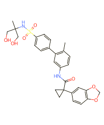 Cc1ccc(NC(=O)C2(c3ccc4c(c3)OCO4)CC2)cc1-c1ccc(S(=O)(=O)NC(C)(CO)CO)cc1